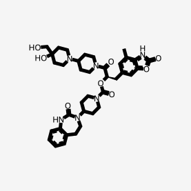 Cc1cc(C[C@@H](OC(=O)N2CCC(N3CCc4ccccc4NC3=O)CC2)C(=O)N2CCC(N3CCC(O)(CO)CC3)CC2)cc2oc(=O)[nH]c12